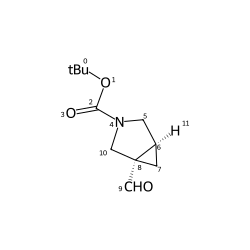 CC(C)(C)OC(=O)N1C[C@H]2C[C@@]2(C=O)C1